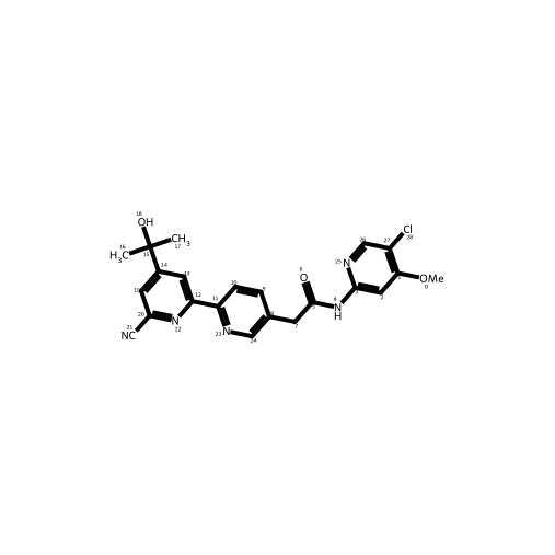 COc1cc(NC(=O)Cc2ccc(-c3cc(C(C)(C)O)cc(C#N)n3)nc2)ncc1Cl